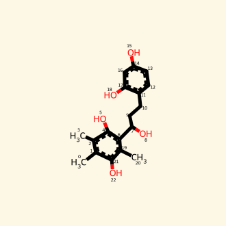 Cc1c(C)c(O)c(C(O)CCc2ccc(O)cc2O)c(C)c1O